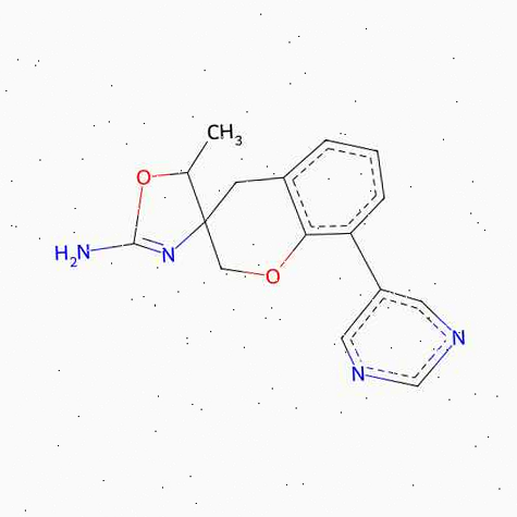 CC1OC(N)=NC12COc1c(cccc1-c1cncnc1)C2